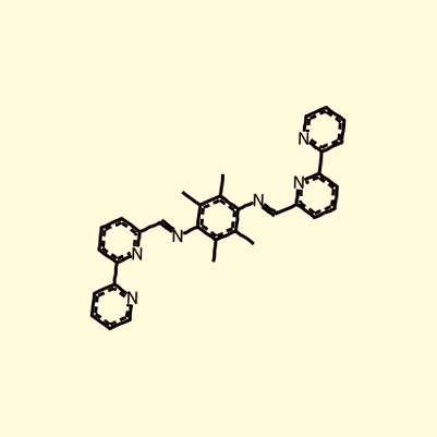 Cc1c(C)c(/N=C/c2cccc(-c3ccccn3)n2)c(C)c(C)c1/N=C/c1cccc(-c2ccccn2)n1